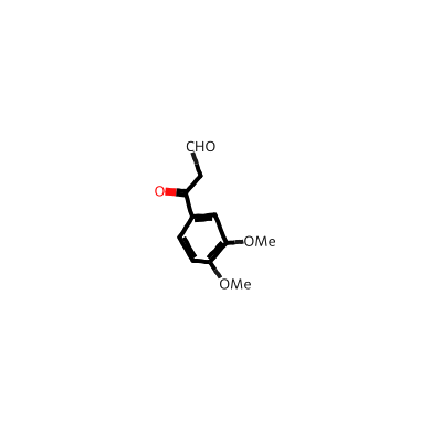 COc1ccc(C(=O)CC=O)cc1OC